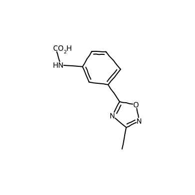 Cc1noc(-c2cccc(NC(=O)O)c2)n1